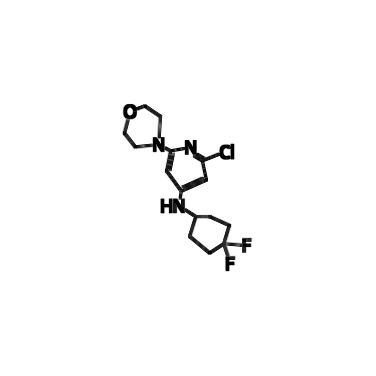 FC1(F)CCC(Nc2cc(Cl)nc(N3CCOCC3)c2)CC1